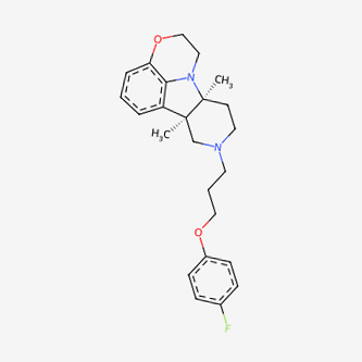 C[C@@]12CN(CCCOc3ccc(F)cc3)CC[C@]1(C)N1CCOc3cccc2c31